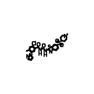 Cc1cc(Cl)c(C(=O)NC(=O)Nc2nc3ccc(S(=O)(=O)C4CCN(C)CC4)cc3s2)cc1-n1cccn1